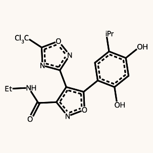 CCNC(=O)c1noc(-c2cc(C(C)C)c(O)cc2O)c1-c1noc(C(Cl)(Cl)Cl)n1